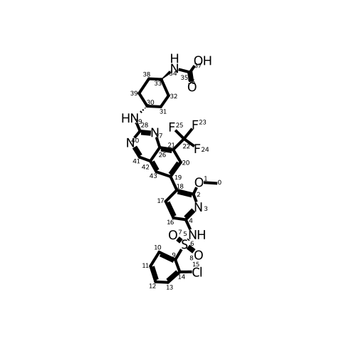 COc1nc(NS(=O)(=O)c2ccccc2Cl)ccc1-c1cc(C(F)(F)F)c2nc(N[C@H]3CC[C@H](NC(=O)O)CC3)ncc2c1